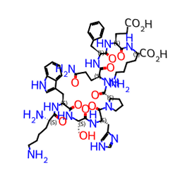 NCCCC[C@H](NC(=O)[C@H](CCC(=O)O)NC(=O)[C@H](Cc1ccccc1)NC(=O)[C@H](CCC(N)=O)NC(=O)[C@@H]1CCCN1C(=O)[C@H](Cc1c[nH]cn1)NC(=O)[C@H](CO)NC(=O)[C@H](Cc1c[nH]c2ccccc12)NC(=O)[C@@H](N)CCCCN)C(=O)O